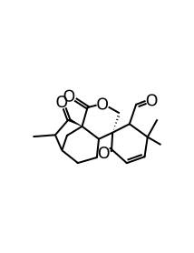 CC1C(=O)[C@]23CC1CCC2[C@]1(COC3=O)C(=O)C=CC(C)(C)C1C=O